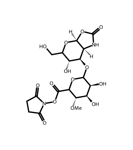 CO[C@@H]1C(C(=O)ON2C(=O)CCC2=O)OC(O[C@@H]2[C@@H]3NC(=O)O[C@@H]3OC(CO)[C@H]2O)[C@@H](O)[C@H]1O